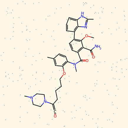 COc1c(-c2cccc3[nH]c(C)nc23)ccc(C(=O)N(C)c2ccc(C)cc2OCCCCC(=C=O)N2CCN(C)CC2)c1C(N)=O